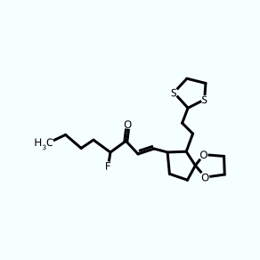 CCCCC(F)C(=O)/C=C/C1CCC2(OCCO2)C1CCC1SCCS1